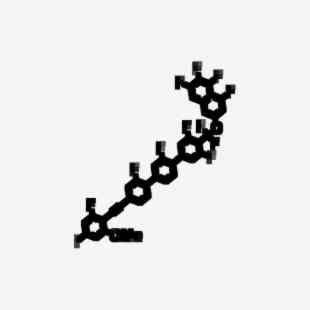 COc1cc(I)cc(F)c1C#Cc1ccc(-c2ccc(-c3cc(F)c(C(F)(F)Oc4cc(F)c5c(F)c(F)c(F)cc5c4)c(F)c3)c(F)c2)c(F)c1